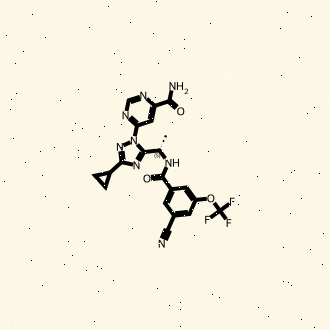 C[C@H](NC(=O)c1cc(C#N)cc(OC(F)(F)F)c1)c1nc(C2CC2)nn1-c1cc(C(N)=O)ncn1